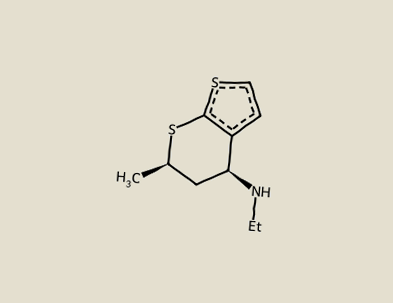 CCN[C@H]1C[C@@H](C)Sc2sccc21